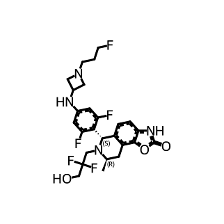 C[C@@H]1Cc2c(ccc3[nH]c(=O)oc23)[C@@H](c2c(F)cc(NC3CN(CCCF)C3)cc2F)N1CC(F)(F)CO